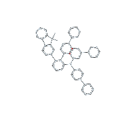 CC1(C)c2ccccc2-c2ccc(-c3cccc(N(c4ccc(-c5ccccc5)cc4)c4cccc(-c5ccccc5)c4)c3-c3ccc(-c4ccccc4)cc3)cc21